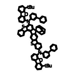 CC(C)(C)c1cccc2c1oc1c(N(c3cccc(-c4ccccc4)c3)c3ccc4c(c3)sc3cc5c(cc34)C3(c4cc(N(c6cccc(-c7ccccc7)c6)c6cccc7c6oc6c(C(C)(C)C)cccc67)c6sc7ccccc7c6c4-5)C4CC5CC(C4)CC3C5)cccc12